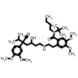 CCCCN(C(=O)c1cc(OC)c(OC)cc1CCNCCC(O)CC(C#N)(c1ccc(OC)c(OC)c1)C(C)C)C(C)(C)C